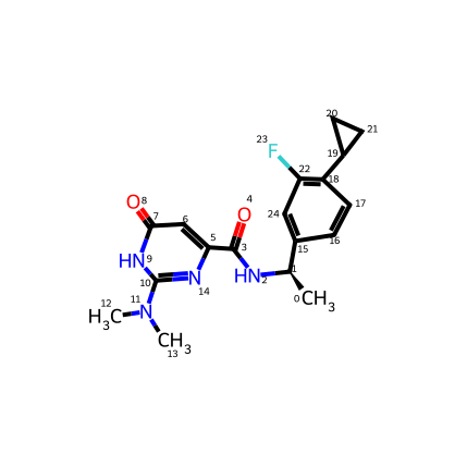 C[C@@H](NC(=O)c1cc(=O)[nH]c(N(C)C)n1)c1ccc(C2CC2)c(F)c1